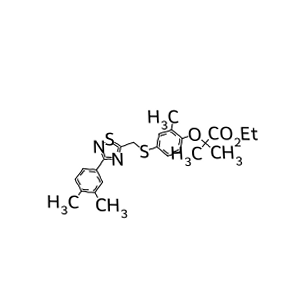 CCOC(=O)C(C)(C)Oc1ccc(SCc2nc(-c3ccc(C)c(C)c3)ns2)cc1C